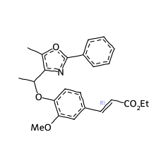 CCOC(=O)/C=C/c1ccc(OC(C)c2nc(-c3ccccc3)oc2C)c(OC)c1